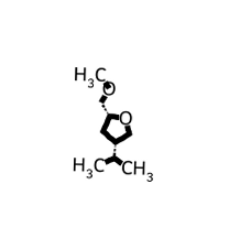 COC[C@H]1C[C@@H](C(C)C)CO1